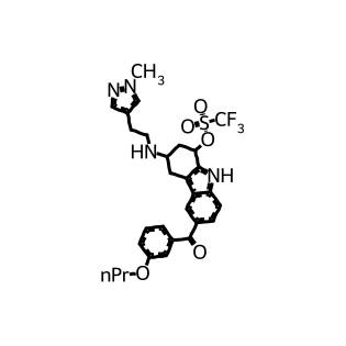 CCCOc1cccc(C(=O)c2ccc3[nH]c4c(c3c2)CC(NCCc2cnn(C)c2)CC4OS(=O)(=O)C(F)(F)F)c1